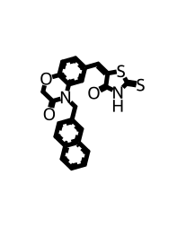 O=C1NC(=S)SC1=Cc1ccc2c(c1)N(Cc1ccc3ccccc3c1)C(=O)CO2